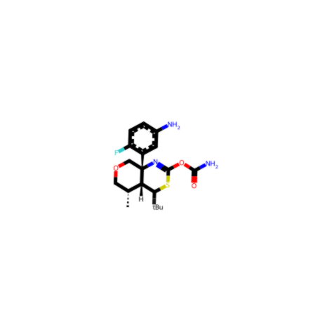 C[C@@H]1COC[C@]2(c3cc(N)ccc3F)N=C(OC(N)=O)SC(C(C)(C)C)[C@H]12